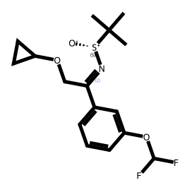 CC(C)(C)[S@@+]([O-])/N=C(\COC1CC1)c1cccc(OC(F)F)c1